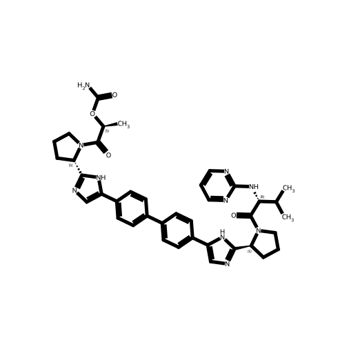 CC(C)[C@@H](Nc1ncccn1)C(=O)N1CCC[C@H]1c1ncc(-c2ccc(-c3ccc(-c4cnc([C@@H]5CCCN5C(=O)[C@H](C)OC(N)=O)[nH]4)cc3)cc2)[nH]1